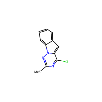 CSc1nc(Cl)c2cc3ccccc3n2n1